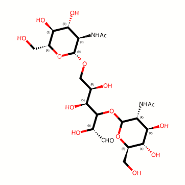 CC(=O)N[C@H]1[C@H](OC[C@@H](O)[C@H](O)C(OC2O[C@H](CO)[C@@H](O)[C@H](O)[C@H]2NC(C)=O)[C@@H](O)C=O)O[C@H](CO)[C@@H](O)[C@@H]1O